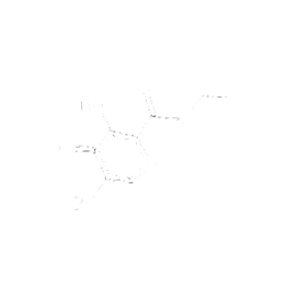 CCOC(=O)c1occ(Br)c(=O)c1O